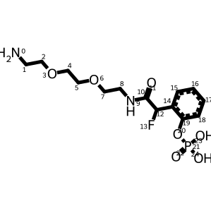 NCCOCCOCCNC(=O)C(F)c1ccccc1OP(=O)(O)O